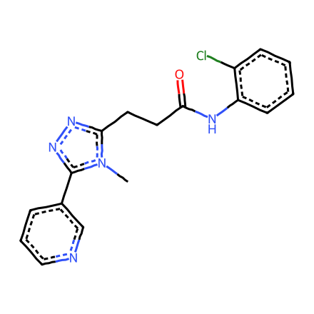 Cn1c(CCC(=O)Nc2ccccc2Cl)nnc1-c1cccnc1